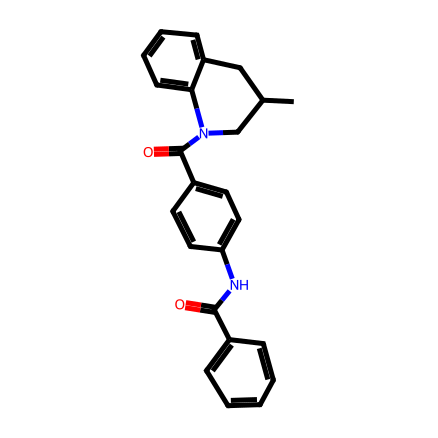 CC1Cc2ccccc2N(C(=O)c2ccc(NC(=O)c3ccccc3)cc2)C1